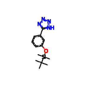 CC(C)(C)[Si](C)(C)Oc1cccc(-c2nnn[nH]2)c1